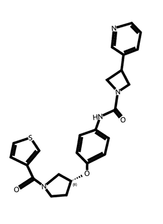 O=C(Nc1ccc(O[C@@H]2CCN(C(=O)c3ccsc3)C2)cc1)N1CC(c2cccnc2)C1